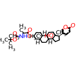 CC(NC(=O)OC(C)(C)C)C(=O)O[C@H]1CC[C@@]2(C)[C@H](CC[C@@H]3[C@@H]2CC[C@]2(C)[C@@H](c4ccc(=O)oc4)CC[C@]32O)C1